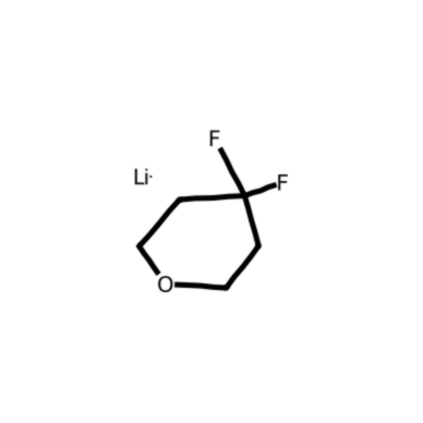 FC1(F)CCOCC1.[Li]